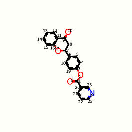 O=C(Oc1ccc(C2CC(=O)c3[c]c[c]cc3O2)cc1)c1cccnc1